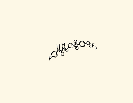 O=C(NO[C@H]1CCN(S(=O)(=O)c2ccc(OC(F)(F)F)cc2)C1)Nc1ccc(F)cc1